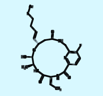 C/C=C1\NC(=O)c2ccc(F)c(n2)CNC(=O)C[C@@H](/C=C/CCSC(C)=O)OC(O)[C@H](C)NC1=O